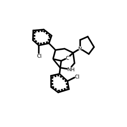 Clc1ccccc1C1CC2(N3CCCC3)CNCC1C(c1ccccc1Cl)C2